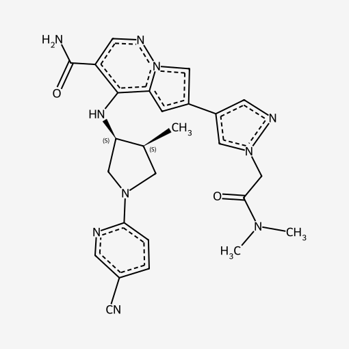 C[C@H]1CN(c2ccc(C#N)cn2)C[C@H]1Nc1c(C(N)=O)cnn2cc(-c3cnn(CC(=O)N(C)C)c3)cc12